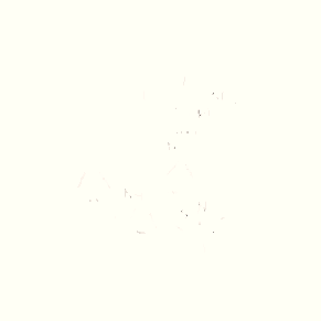 CC(C)(N)CC(C)(C)CC(=O)Nc1ccc(-n2nc(C(F)(F)F)cc2-c2ccc3c(c2)Nc2ccccc2S3)cc1